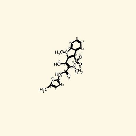 Cc1cnc(NC(=O)C2=C(O)c3c(c4ccccc4n3C)S(=O)(=O)N2C)s1